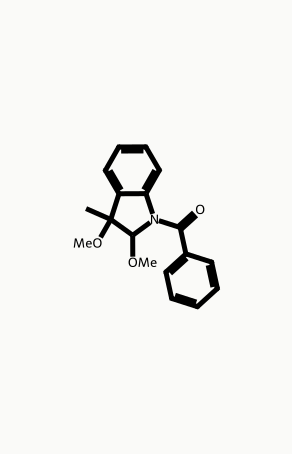 COC1N(C(=O)c2ccccc2)c2ccccc2C1(C)OC